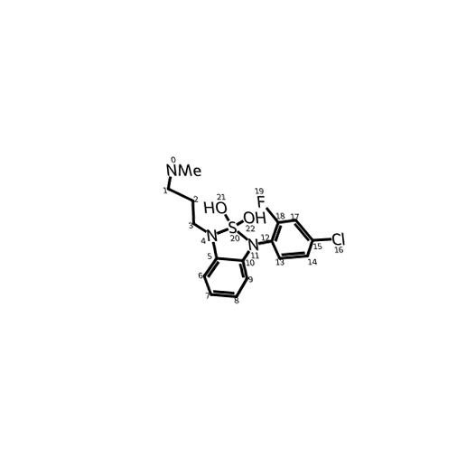 CNCCCN1c2ccccc2N(c2ccc(Cl)cc2F)S1(O)O